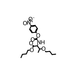 CCCCOC(=O)[C@@H](NC(=O)Oc1ccc([N+](=O)[O-])cc1)C(C)OCCCC